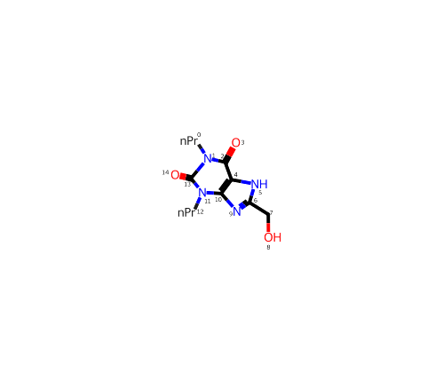 CCCn1c(=O)c2[nH]c(CO)nc2n(CCC)c1=O